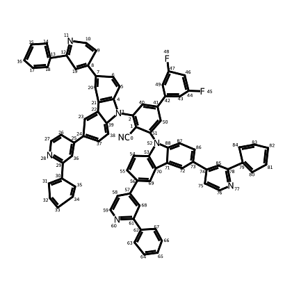 N#Cc1c(-n2c3ccc(-c4ccnc(-c5ccccc5)c4)cc3c3cc(-c4ccnc(-c5ccccc5)c4)ccc32)cc(-c2cc(F)cc(F)c2)cc1-n1c2ccc(-c3ccnc(-c4ccccc4)c3)cc2c2cc(-c3ccnc(-c4ccccc4)c3)ccc21